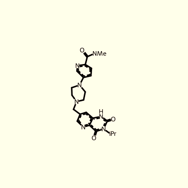 CNC(=O)c1ccc(N2CCN(Cc3cnc4c(=O)n(C(C)C)c(=O)[nH]c4c3)CC2)cn1